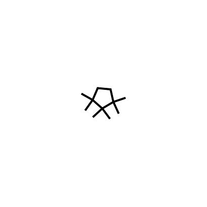 CC1(C)CCC(C)(C)C1(C)C